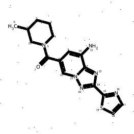 CC1CCCN(C(=O)c2cc(N)c3nc(-c4nccs4)nn3c2)C1